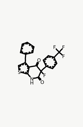 O=C1Nc2scc(-c3ccccc3)c2C(=O)C1(F)c1ccc(C(F)(F)F)cc1